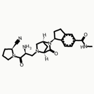 CNC(=O)c1ccc2c(c1)CC[C@@H]2N1C(=O)[C@@H]2C[C@H]1CN2C[C@H](N)C(=O)N1CCC[C@H]1C#N